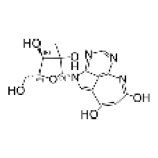 CC1(O)[C@H](O)[C@@H](CO)O[C@H]1n1cc2c3c(ncnc31)N=C(O)C=C2O